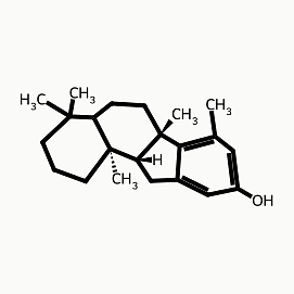 Cc1cc(O)cc2c1[C@@]1(C)CCC3C(C)(C)CCC[C@]3(C)[C@H]1C2